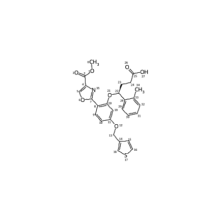 COC(=O)c1coc(-c2ccc(OCc3ccsc3)cc2O[C@@H](CCC(=O)O)c2ccccc2C)n1